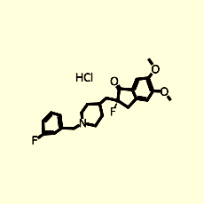 COc1cc2c(cc1OC)C(=O)[C@](F)(CC1CCN(Cc3cccc(F)c3)CC1)C2.Cl